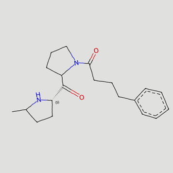 CC1CC[C@@H](C(=O)C2CCCN2C(=O)CCCc2ccccc2)N1